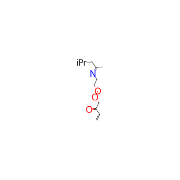 C=CC(=O)COOCCN=C(C)CC(C)C